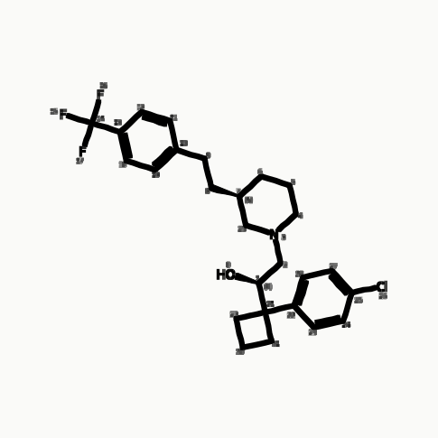 O[C@@H](CN1CCC[C@H](CCc2ccc(C(F)(F)F)cc2)C1)C1(c2ccc(Cl)cc2)CCC1